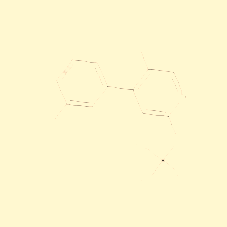 [2H]C([2H])([2H])Oc1cc(-c2cccc(O)c2)c(F)cn1